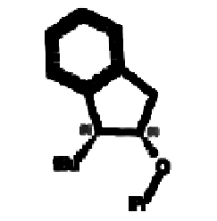 CC(C)O[C@H]1Cc2ccccc2[C@H]1C(C)(C)C